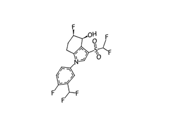 O=S(=O)(c1cn(-c2ccc(F)c(C(F)F)c2)c2c1[C@H](O)[C@H](F)CC2)C(F)F